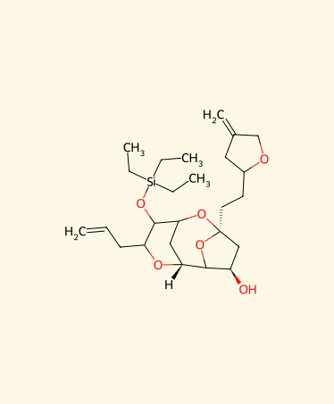 C=CCC1O[C@@H]2CC(O[C@@]3(CCC4CC(=C)CO4)C[C@@H](O)C2O3)C1O[Si](CC)(CC)CC